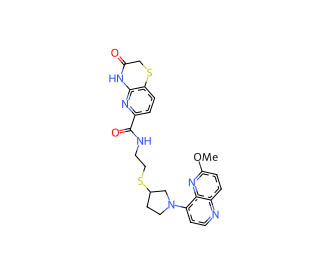 COc1ccc2nccc(N3CCC(SCCNC(=O)c4ccc5c(n4)NC(=O)CS5)C3)c2n1